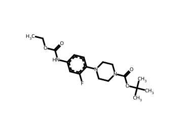 CCOC(=O)Nc1ccc(N2CCN(C(=O)OC(C)(C)C)CC2)c(F)c1